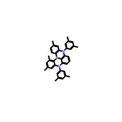 Cc1cc(C)cc(N2c3cc(C)ccc3B3c4c(C)cc(C)cc4N(c4cc(C)cc(C)c4)c4cccc2c43)c1